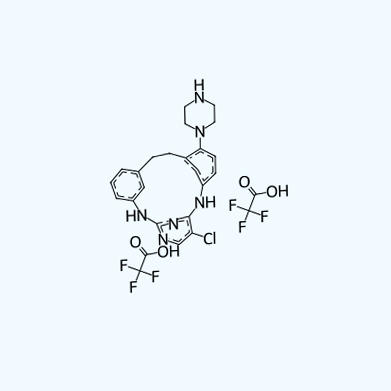 Clc1cnc2nc1Nc1ccc(N3CCNCC3)c(c1)CCc1cccc(c1)N2.O=C(O)C(F)(F)F.O=C(O)C(F)(F)F